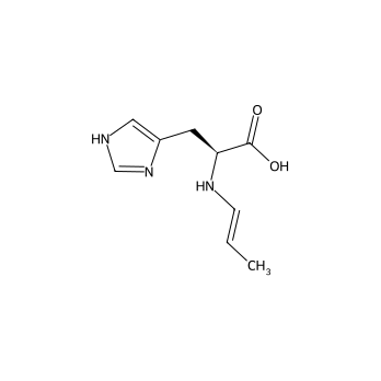 CC=CN[C@@H](Cc1c[nH]cn1)C(=O)O